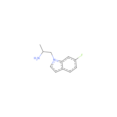 CC(N)Cn1ccc2ccc(F)cc21